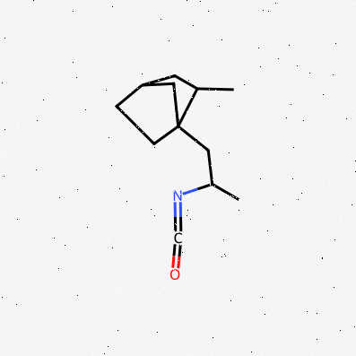 CC(CC12CCC(CC1C)C2)N=C=O